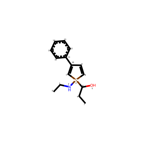 CCNS1(C(O)CC)C=CC(c2ccccc2)=C1